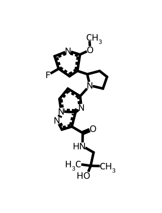 COc1ncc(F)cc1C1CCCN1c1ccn2ncc(C(=O)NCC(C)(C)O)c2n1